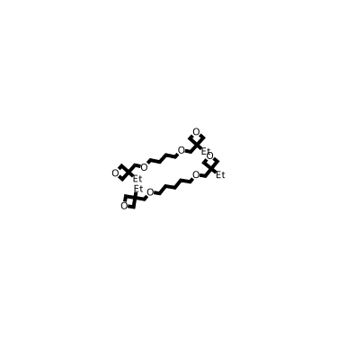 CCC1(COCCCCCOCC2(CC)COC2)COC1.CCC1(COCCCCOCC2(CC)COC2)COC1